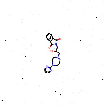 O=C1C2C3C=CC(C3)C2C(=O)N1CC(O)CN1CCCN(c2ncccn2)CC1